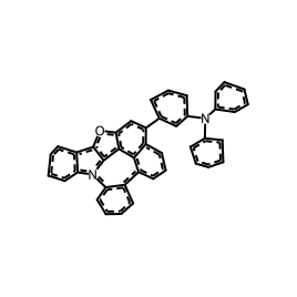 c1ccc(N(c2ccccc2)c2cccc(-c3cc4oc5c6ccccc6n6c7ccccc7c7cccc3c7c4c56)c2)cc1